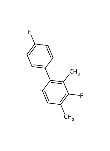 Cc1c[c]c(-c2ccc(F)cc2)c(C)c1F